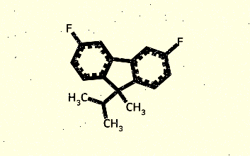 CC(C)C1(C)c2ccc(F)cc2-c2cc(F)ccc21